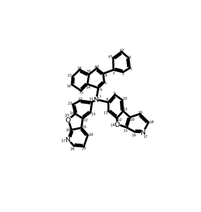 c1ccc(-c2cc(N(c3ccc4c(c3)oc3cnccc34)c3ccc4oc5ncccc5c4c3)c3ccccc3c2)cc1